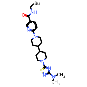 CCC(C)CNC(=O)c1ccc(N2CCC(C3CCN(c4nc(N(C)C)ns4)CC3)CC2)nc1